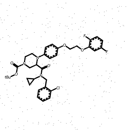 CC(C)(C)OC(=O)N1CCN(c2ccc(OCCOc3cc(F)ccc3F)cc2)C(C(=O)N(Cc2ccccc2Cl)C2CC2)C1